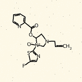 C=CCN1CC(OC(=O)c2ccccn2)[N+]([O-])(c2ncc(F)s2)C1